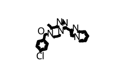 CC1c2nnc(-c3cn4ccccc4n3)n2CCN1C(=O)c1ccc(Cl)cc1